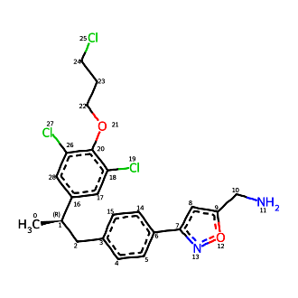 C[C@H](Cc1ccc(-c2cc(CN)on2)cc1)c1cc(Cl)c(OCCCCl)c(Cl)c1